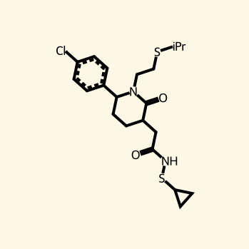 CC(C)SCCN1C(=O)C(CC(=O)NSC2CC2)CCC1c1ccc(Cl)cc1